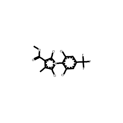 COC(=O)c1c(C)c(Cl)n(-c2c(Cl)cc(C(F)(F)F)cc2Cl)c1Cl